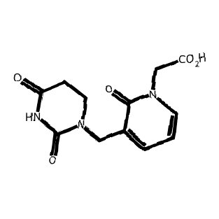 O=C(O)Cn1cccc(CN2CCC(=O)NC2=O)c1=O